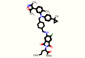 CNC(=O)C(CCC=O)N1C(=O)c2cc(F)c(NCC3CCC(CN(c4ccc(C5(C#N)CC5)cc4)c4cc(-c5c(C)noc5C)ccc4C)CC3)cc2C1=O